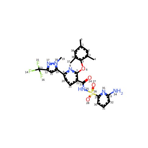 Cc1cc(C)c(Oc2nc(-c3cc(C(F)(F)F)nn3C)ccc2C(=O)NS(=O)(=O)c2cccc(N)n2)c(C)c1